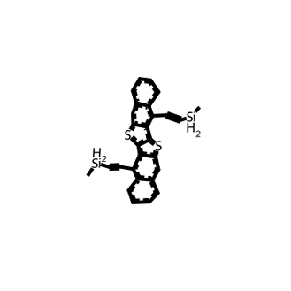 C[SiH2]C#Cc1c2ccccc2cc2sc3c(sc4cc5ccccc5c(C#C[SiH2]C)c43)c12